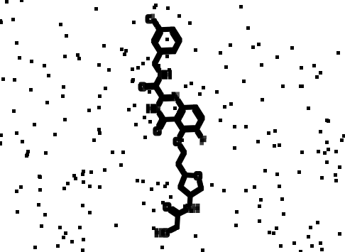 O=C(CO)NC1COC(CCOc2c(F)ccc3nc(C(=O)NCc4cccc(Cl)c4)[nH]c(=O)c23)C1